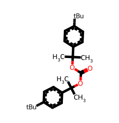 CC(C)(C)c1ccc(C(C)(C)OC(=O)OC(C)(C)c2ccc(C(C)(C)C)cc2)cc1